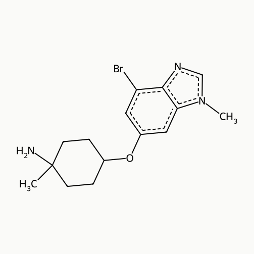 Cn1cnc2c(Br)cc(OC3CCC(C)(N)CC3)cc21